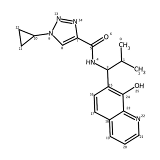 CC(C)C(NC(=O)c1cn(C2CC2)nn1)c1ccc2cccnc2c1O